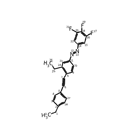 CCc1ccc(C#Cc2ccc(N=Nc3cc(F)c(F)c(F)c3)cc2CC)cc1